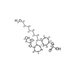 C=CC(=O)Oc1ccccc1.CCCCCCCCCc1ccc(OC(=O)O)cc1